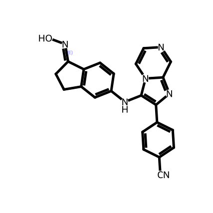 N#Cc1ccc(-c2nc3cnccn3c2Nc2ccc3c(c2)CC/C3=N\O)cc1